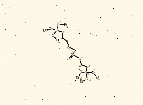 CCO[Si](CCCSSS(=S)CCC[Si](OCC)(OCC)OCC)(OCC)OCC